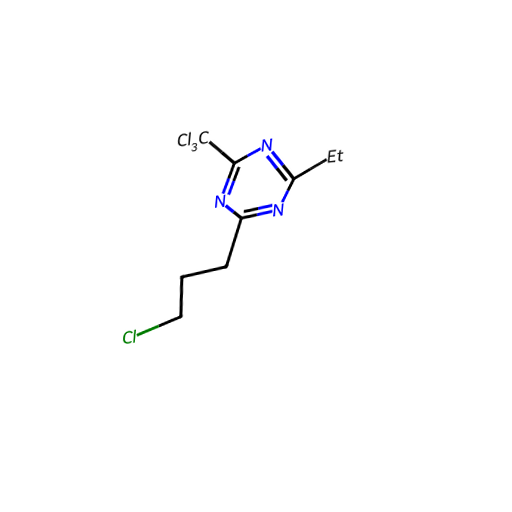 CCc1nc(CCCCl)nc(C(Cl)(Cl)Cl)n1